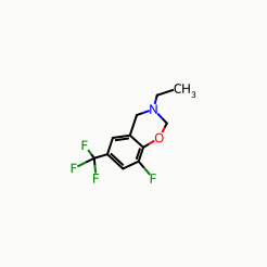 CCN1COc2c(F)cc(C(F)(F)F)cc2C1